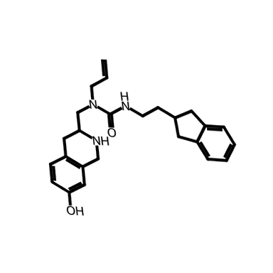 C=CCN(CC1Cc2ccc(O)cc2CN1)C(=O)NCCC1Cc2ccccc2C1